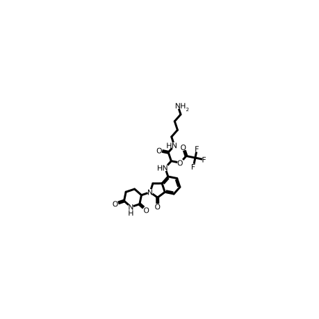 NCCCCNC(=O)C(Nc1cccc2c1CN(C1CCC(=O)NC1=O)C2=O)OC(=O)C(F)(F)F